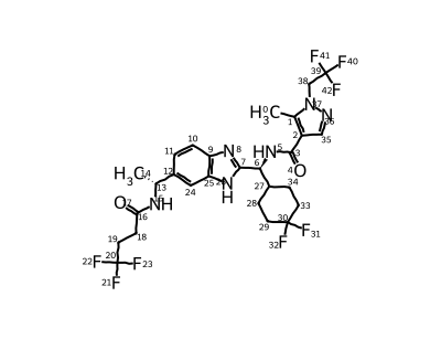 Cc1c(C(=O)N[C@H](c2nc3ccc([C@@H](C)NC(=O)CCC(F)(F)F)cc3[nH]2)C2CCC(F)(F)CC2)cnn1CC(F)(F)F